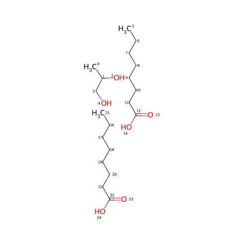 CC(O)CO.CCCCCCCC(=O)O.CCCCCCCC(=O)O